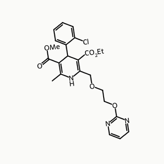 CCOC(=O)C1=C(COCCOc2ncccn2)NC(C)=C(C(=O)OC)C1c1ccccc1Cl